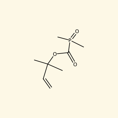 C=CC(C)(C)OC(=O)P(C)(C)=O